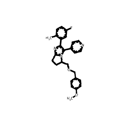 COc1ccc(COCC2CCc3nc(-c4cc(F)ccc4C)c(-c4ccncc4)n32)cc1